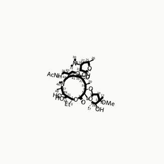 CC[C@H]1OC(=O)[C@H](C)[C@@H](O[C@H]2C[C@@](C)(OC)[C@@H](O)[C@H](C)O2)[C@H](C)[C@@H](O[C@@H]2O[C@H](C)C[C@H](N(C)C)[C@H]2OCCCNC(C)=O)[C@](C)(O)C[C@@H](C)CN(C)[C@H](C)[C@@H](O)[C@]1(C)O